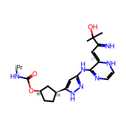 CC(C)NC(=O)O[C@@H]1CC[C@H](c2cc(NC3=NC=CN/C3=C\C(=N)C(C)(C)O)n[nH]2)C1